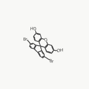 Oc1ccc2c(c1)Oc1cc(O)ccc1C21c2cc(Br)ccc2-c2ccc(Br)cc21